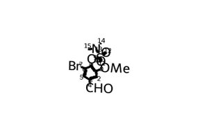 COc1cc(C=O)cc(Br)c1OS(=O)(=O)N(C)C